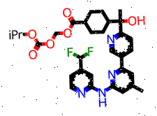 Cc1cc(Nc2cc(C(F)F)ccn2)nc(-c2ccc(C(C)(O)C3CCC(C(=O)OCOC(=O)OC(C)C)CC3)nc2)c1